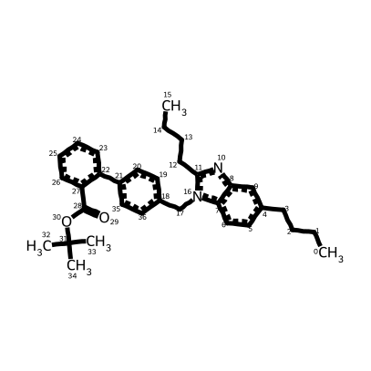 CCCCc1ccc2c(c1)nc(CCCC)n2Cc1ccc(-c2ccccc2C(=O)OC(C)(C)C)cc1